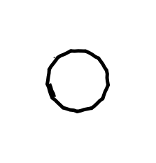 [CH]1C/C=C\CCCCCCCCC1